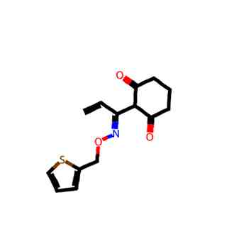 C=CC(=NOCc1cccs1)C1C(=O)CCCC1=O